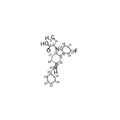 CCC(C(=O)O)n1c2c(c3cc(F)ccc31)C[C@@H](NCc1ccccc1)CC2